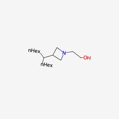 CCCCCCC(CCCCCC)C1CN(CCO)C1